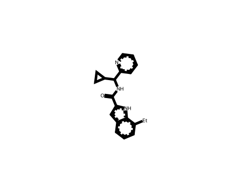 CCc1cccc2cc(C(=O)NC(c3ccccn3)C3CC3)[nH]c12